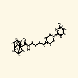 O=C(NCCCCN1CCN(c2cccc(F)n2)CC1)C12CC3CC(CC(C3)C1)C2